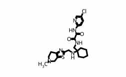 CN1CCc2nc(CNC3(CNC(=O)C(=O)Nc4ccc(Cl)cn4)CCCCC3)sc2C1